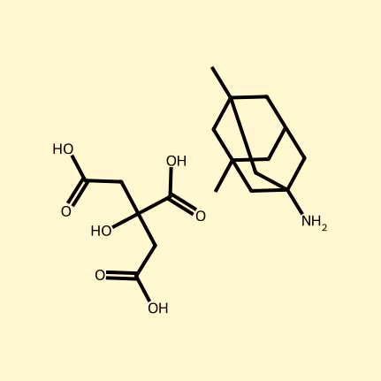 CC12CC3CC(C)(C1)CC(N)(C3)C2.O=C(O)CC(O)(CC(=O)O)C(=O)O